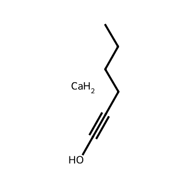 CCCCC#CO.[CaH2]